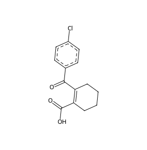 O=C(O)C1=C(C(=O)c2ccc(Cl)cc2)CCCC1